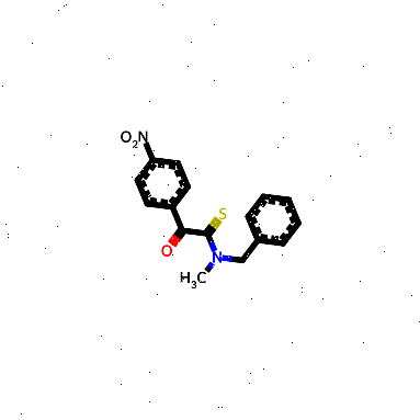 CN(Cc1ccccc1)C(=S)C(=O)c1ccc([N+](=O)[O-])cc1